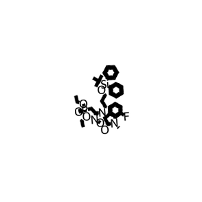 CCOP(=O)(CC1=NOC2(C(=O)N(C)c3c(F)cccc32)N1CCCO[Si](c1ccccc1)(c1ccccc1)C(C)(C)C)OCC